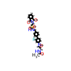 CC(=O)NC[C@H]1CN(c2ccc(-c3ccc(CNS(=O)(=O)CCN4C(=O)c5ccccc5C4=O)cc3)c(F)c2)O1